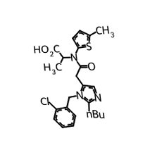 CCCCc1ncc(CC(=O)N(c2ccc(C)s2)C(C)C(=O)O)n1Cc1ccccc1Cl